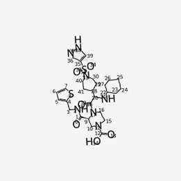 O=C(NCc1cccs1)[C@@H]1CN(C(=O)O)CCN1C(=O)C(NC1CCCCC1)C1CCN(S(=O)(=O)c2cn[nH]c2)CC1